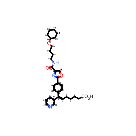 O=C(O)CCCC/C=C(\c1ccc(-c2nc(C(=O)NCCCCOC3CCCCC3)co2)cc1)c1cccnc1